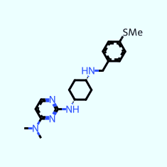 CSc1ccc(CN[C@H]2CC[C@@H](Nc3nccc(N(C)C)n3)CC2)cc1